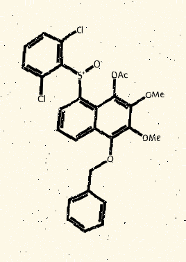 COc1c(OC)c(OC(C)=O)c2c([S+]([O-])c3c(Cl)cccc3Cl)cccc2c1OCc1ccccc1